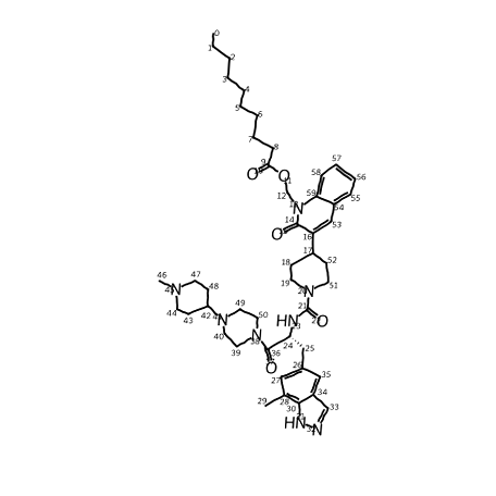 CCCCCCCCCC(=O)OCn1c(=O)c(C2CCN(C(=O)N[C@H](Cc3cc(C)c4[nH]ncc4c3)C(=O)N3CCN(C4CCN(C)CC4)CC3)CC2)cc2ccccc21